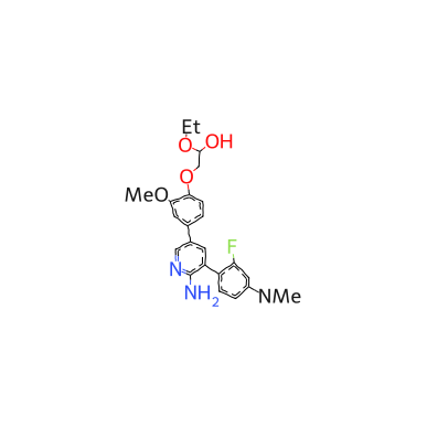 CCOC(O)COc1ccc(-c2cnc(N)c(-c3ccc(NC)cc3F)c2)cc1OC